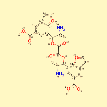 COC(=O)c1cc(C(OC(=O)C(=O)OC(c2cc(C(=O)OC)cc3ccoc23)C(C)N)C(C)N)c2occc2c1